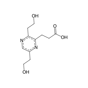 O=C(O)CCc1nc(CCO)cnc1CCO